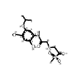 CC(C)Oc1cc(NC(=O)CSCC(=O)S(C)(=O)=O)c(Cl)cc1Cl